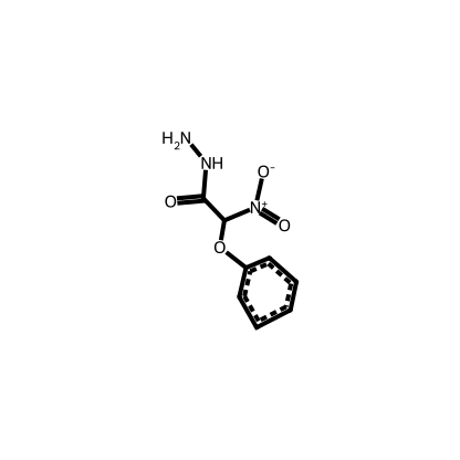 NNC(=O)C(Oc1ccccc1)[N+](=O)[O-]